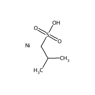 CC(C)CS(=O)(=O)O.[Ni]